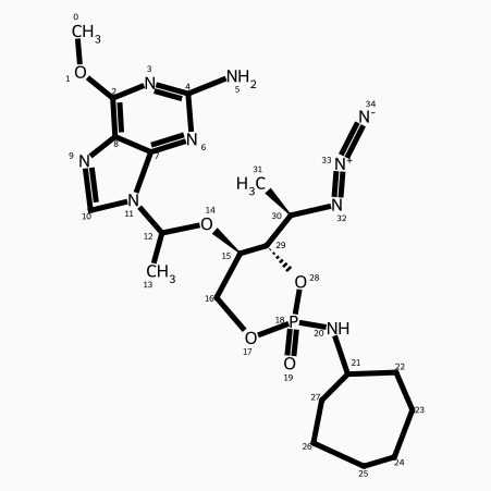 COc1nc(N)nc2c1ncn2C(C)O[C@@H]1COP(=O)(NC2CCCCCC2)O[C@H]1[C@@H](C)N=[N+]=[N-]